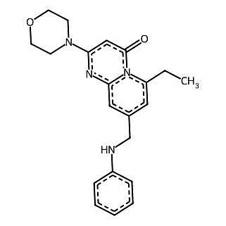 CCc1cc(CNc2ccccc2)cc2nc(N3CCOCC3)cc(=O)n12